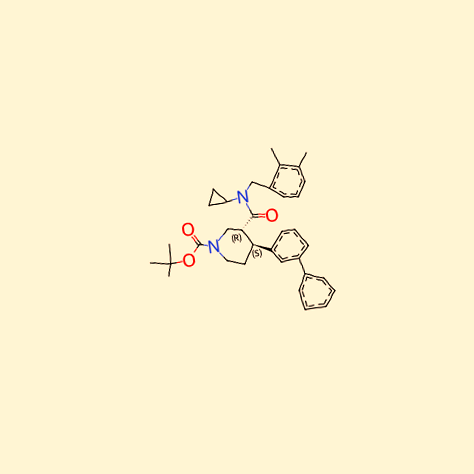 Cc1cccc(CN(C(=O)[C@H]2CN(C(=O)OC(C)(C)C)CC[C@@H]2c2cccc(-c3ccccc3)c2)C2CC2)c1C